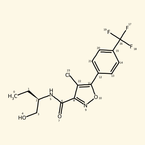 CC[C@H](CO)NC(=O)c1noc(-c2ccc(C(F)(F)F)cc2)c1Cl